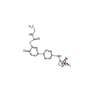 CCNC(=O)Cn1nc(-c2ccc(NC34CC([C@H]3C)[C@H]4C)nc2)ccc1=O